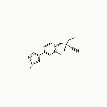 C=C/C(=C\N(C)/N=C\[C@@](C)(C#N)CC)c1cnn(C)c1